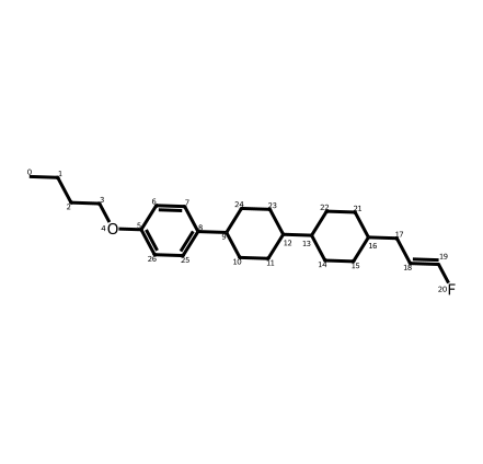 CCCCOc1ccc(C2CCC(C3CCC(CC=CF)CC3)CC2)cc1